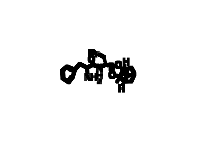 CC(C)C[C@H](NC(=O)C(N)Cc1ccccc1)B1O[C@@H]2CC3C[C@@H](C3(C)C)[C@]2(C)O1